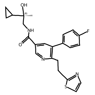 C[C@](O)(CNC(=O)c1cnc(CCc2nccs2)c(-c2ccc(F)cc2)c1)C1CC1